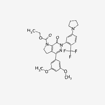 CCOC(=O)N1CCc2c(-c3cc(OC)cc(OC)c3)nn(-c3cc(N4CCCC4)ccc3C(F)(F)F)c(=O)c21